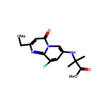 COCc1cc(=O)n2cc(NC(C)(C)C(=O)OC)cc(F)c2n1